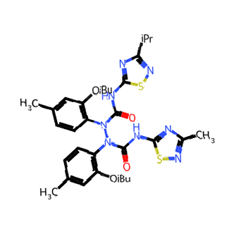 Cc1ccc(N(C(=O)Nc2nc(C)ns2)N(C(=O)Nc2nc(C(C)C)ns2)c2ccc(C)cc2OCC(C)C)c(OCC(C)C)c1